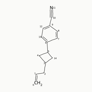 C=CCC1CC(c2ccc(C#N)cc2)C1